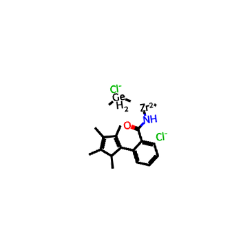 CC1=C(C)C(C)C(c2ccccc2C(=O)[NH][Zr+2])=C1C.[CH3][GeH2][CH3].[Cl-].[Cl-]